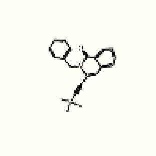 C[Si](C)(C)C#Cc1cc2ccccc2c(=O)n1Cc1ccccc1